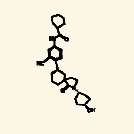 N#Cc1cc(NC(=O)C2CCCCC2)ccc1N1CCCC2(CCN([C@H]3CC[C@H](O)CC3)C2=O)C1